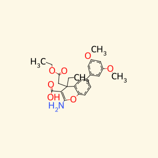 CCOC(=O)CC1(CC)C(C(=O)O)=C(N)Oc2ccc(-c3cc(OC)cc(OC)c3)cc21